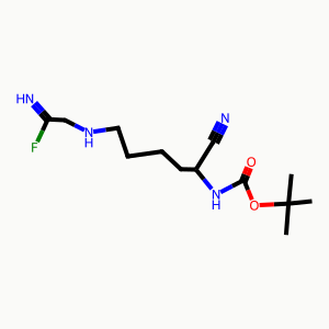 CC(C)(C)OC(=O)NC(C#N)CCCCNCC(=N)F